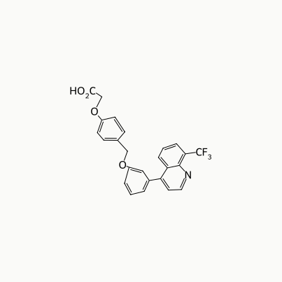 O=C(O)COc1ccc(COc2cccc(-c3ccnc4c(C(F)(F)F)cccc34)c2)cc1